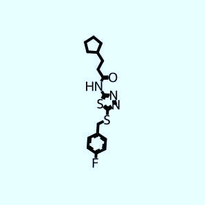 O=C(CCC1CCCC1)Nc1nnc(SCc2ccc(F)cc2)s1